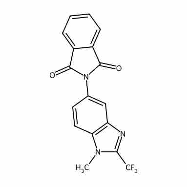 Cn1c(C(F)(F)F)nc2cc(N3C(=O)c4ccccc4C3=O)ccc21